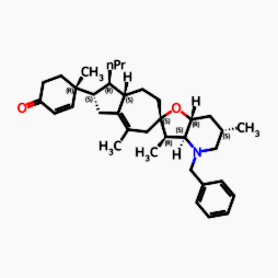 CCC[C@H]1[C@@H]2CC[C@@]3(CC(C)=C2C[C@@H]1[C@]1(C)C=CC(=O)CC1)O[C@@H]1C[C@H](C)CN(Cc2ccccc2)[C@H]1[C@H]3C